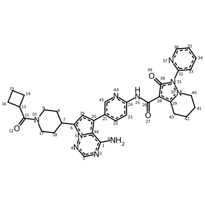 Nc1ncnn2c(C3CCN(C(=O)C4CCC4)CC3)cc(-c3ccc(NC(=O)c4c5n(n(-c6ccccn6)c4=O)CCCC5)nc3)c12